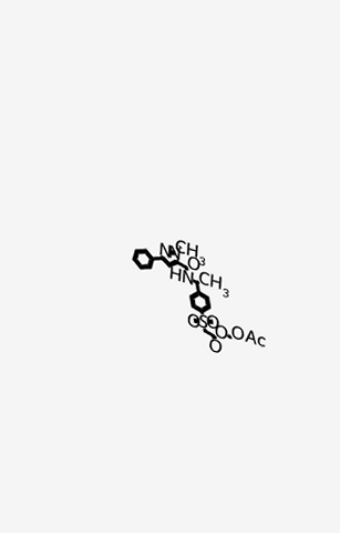 CC(=O)OCOC(=O)CS(=O)(=O)c1ccc(C(C)NC(=O)c2cc(-c3ccccc3)nn2C)cc1